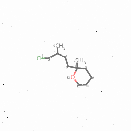 CC(CCl)CCC1([SiH3])CCCCO1